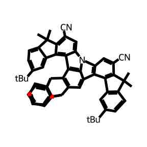 CC(C)(C)c1ccc2c(c1)-c1c(c(C#N)cc3c1c1cc4c(c5c6c7c(c(C#N)cc6n3c15)C(C)(C)c1ccc(C(C)(C)C)cc1-7)C1c3ccccc3C4c3ccccc31)C2(C)C